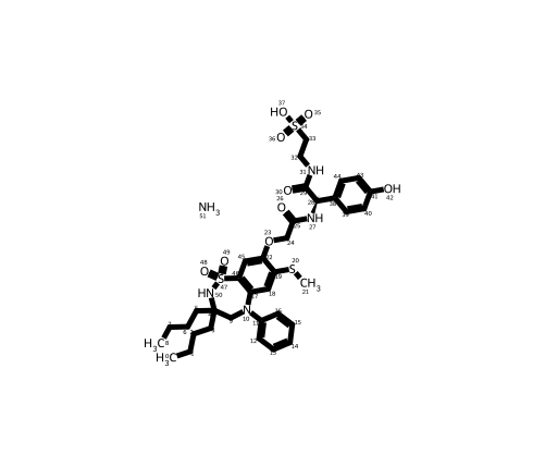 CCCCC1(CCCC)CN(c2ccccc2)c2cc(SC)c(OCC(=O)N[C@@H](C(=O)NCCS(=O)(=O)O)c3ccc(O)cc3)cc2S(=O)(=O)N1.N